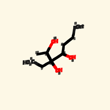 CCCCCCCCCCC(O)C(O)(CC(=O)O)C(C)O